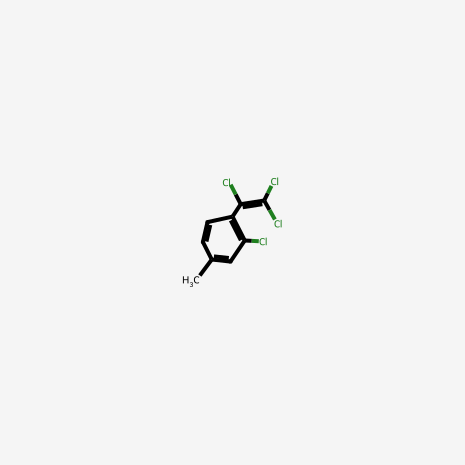 Cc1ccc(C(Cl)=C(Cl)Cl)c(Cl)c1